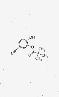 CC(C)(C)C(=O)Oc1cc(C#N)ccc1O